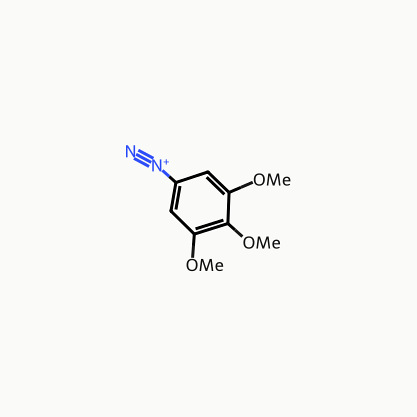 COc1cc([N+]#N)cc(OC)c1OC